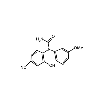 COc1cccc(N(C(N)=O)c2ccc(C#N)cc2O)c1